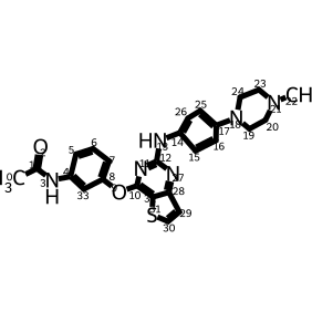 CC(=O)Nc1cccc(Oc2nc(Nc3ccc(N4CCN(C)CC4)cc3)nc3ccsc23)c1